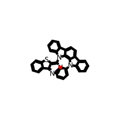 c1ccc(-n2c3ccccc3c3ccc4c5ccccc5n(-c5ncnc6c5sc5ccccc56)c4c32)cc1